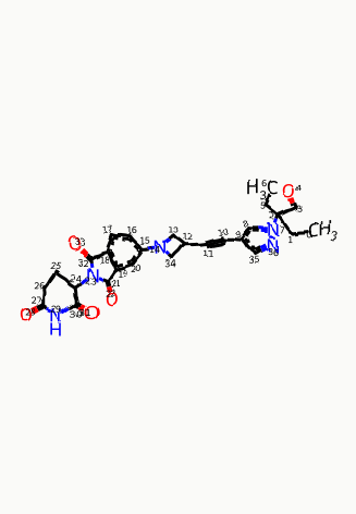 CCC(C=O)(CC)n1cc(C#CC2CN(c3ccc4c(c3)C(=O)N(C3CCC(=O)NC3=O)C4=O)C2)cn1